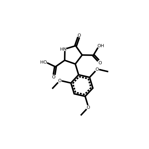 COc1cc(OC)c(C2C(C(=O)O)NC(=O)C2C(=O)O)c(OC)c1